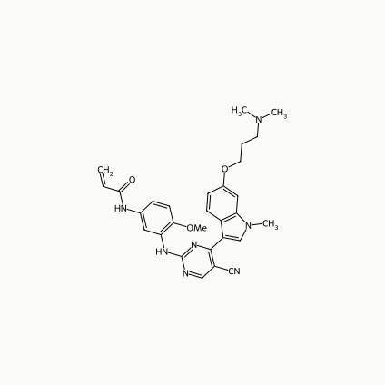 C=CC(=O)Nc1ccc(OC)c(Nc2ncc(C#N)c(-c3cn(C)c4cc(OCCCN(C)C)ccc34)n2)c1